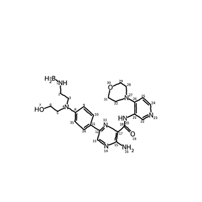 BNCCN(CCO)c1ccc(-c2cnc(N)c(C(=O)Nc3cnccc3N3CCOCC3)n2)cc1